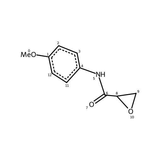 COc1ccc(NC(=O)C2CO2)cc1